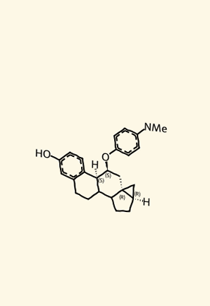 CNc1ccc(O[C@H]2C[C@]34C[C@H]3CCC4C3CCc4cc(O)ccc4[C@H]32)cc1